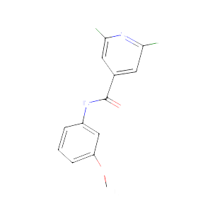 COc1cccc(NC(=O)c2cc(F)nc(F)c2)c1